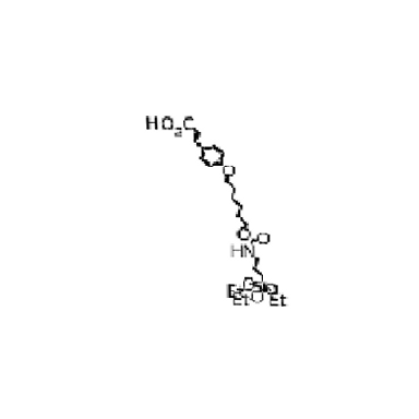 CCO[Si](CCCNC(=O)OCCCCCCOc1ccc(/C=C/C(=O)O)cc1)(OCC)OCC